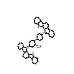 N#Cc1cc(-n2c3ccccc3c3ccc4c5ccccc5oc4c32)ccc1-c1ccc(-n2c3ccccc3c3ccc4c5ccccc5oc4c32)cc1